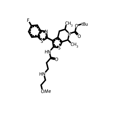 COCCNCCC(=O)Nc1sc2c(c1-c1nc3cc(F)ccc3s1)CC(C)N(C(=O)OC(C)(C)C)C2C